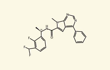 C[C@@H](NC(=O)c1cc2c(-c3ccccc3)ncnc2n1C)c1cccc(C(F)F)c1F